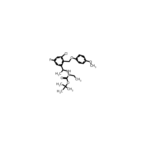 CCN(NC(C)c1cc(F)cc(Cl)c1COc1ccc(OC)cc1)C(=O)OC(C)(C)C